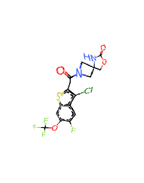 O=C1NC2(CO1)CN(C(=O)c1sc3cc(OC(F)(F)F)c(F)cc3c1Cl)C2